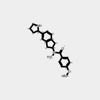 CCCCOc1ccc(C(=O)N(C)C2Cc3ccc(C4CCCN4)cc3C2)cc1